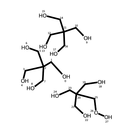 OCC(CO)(CO)CO.OCC(CO)(CO)CO.OCC(CO)(CO)COO